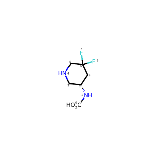 O=C(O)N[C@@H]1CNCC(F)(F)C1